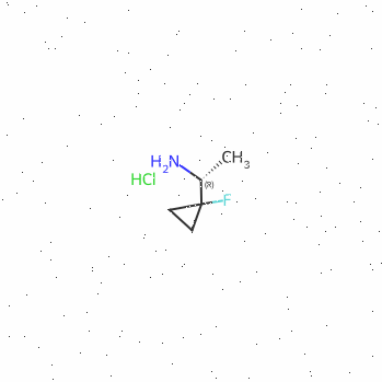 C[C@@H](N)C1(F)CC1.Cl